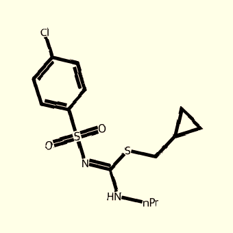 CCCNC(=NS(=O)(=O)c1ccc(Cl)cc1)SCC1CC1